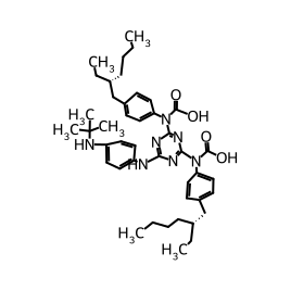 CCCC[C@@H](CC)Cc1ccc(N(C(=O)O)c2nc(Nc3ccc(NC(C)(C)C)cc3)nc(N(C(=O)O)c3ccc(C[C@H](CC)CCCC)cc3)n2)cc1